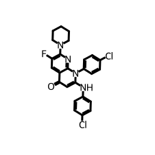 O=c1cc(Nc2ccc(Cl)cc2)n(-c2ccc(Cl)cc2)c2nc(N3CCCCC3)c(F)cc12